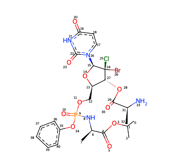 CC(C)OC(=O)[C@@H](C)NP(=O)(OC[C@H]1O[C@@H](n2ccc(=O)[nH]c2=O)[C@](Cl)(Br)[C@@H]1OC(=O)[C@H](C)N)Oc1ccccc1